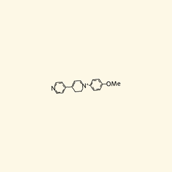 COc1ccc([N+]2=CC=C(c3ccncc3)CC2)cc1